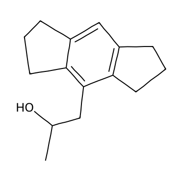 CC(O)Cc1c2c(cc3c1CCC3)CCC2